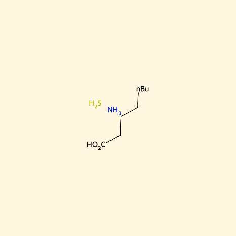 CCCCCCCC(=O)O.N.S